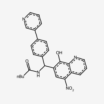 CCCCC(=O)NC(c1ccc(-c2cccnc2)cc1)c1cc([N+](=O)[O-])c2cccnc2c1O